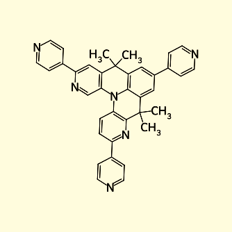 CC1(C)c2cc(-c3ccncc3)ncc2N2c3ccc(-c4ccncc4)nc3C(C)(C)c3cc(-c4ccncc4)cc1c32